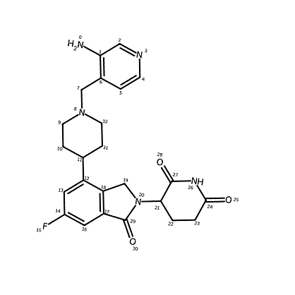 Nc1cnccc1CN1CCC(c2cc(F)cc3c2CN(C2CCC(=O)NC2=O)C3=O)CC1